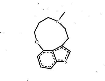 CN1CCCOc2cccc3scc(c23)CC1